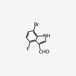 O=Cc1c[nH]c2c(Br)ccc(F)c12